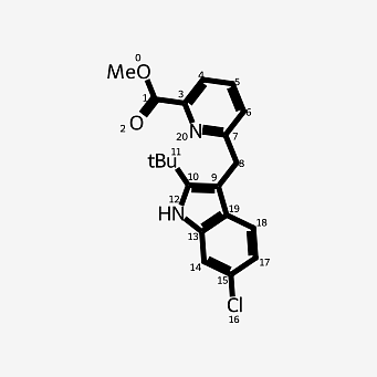 COC(=O)c1cccc(Cc2c(C(C)(C)C)[nH]c3cc(Cl)ccc23)n1